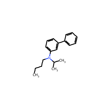 CCCCN(c1cccc(-c2ccccc2)c1)C(C)C